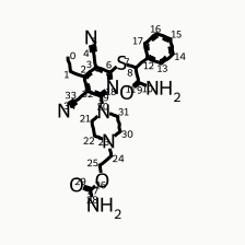 CCc1c(C#N)c(SC(C(N)=O)c2ccccc2)nc(N2CCN(CCOC(N)=O)CC2)c1C#N